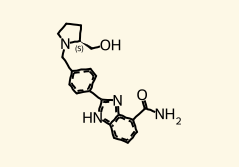 NC(=O)c1cccc2[nH]c(-c3ccc(CN4CCC[C@H]4CO)cc3)nc12